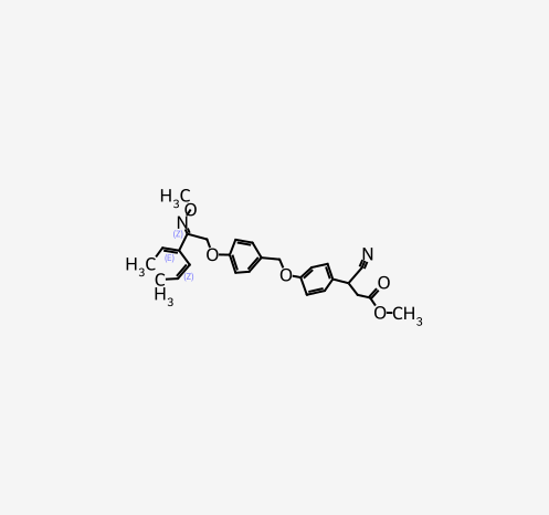 C\C=C/C(=C\C)C(/COc1ccc(COc2ccc(C(C#N)CC(=O)OC)cc2)cc1)=N/OC